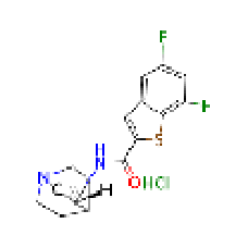 Cl.O=C(N[C@H]1CN2CCC1CC2)c1cc2cc(F)cc(F)c2s1